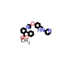 COC(=O)c1cccc(N2CC(Oc3ccc(CNc4cccnc4)cc3)C2)c1-c1ccccc1